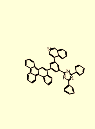 c1ccc(-c2nc(-c3ccccc3)nc(-c3cc(-c4cncc5ccccc45)cc(-c4cc5c6ccccc6c6ccccc6c5c5ccccc45)c3)n2)cc1